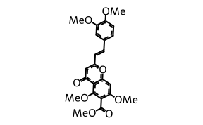 COC(=O)c1c(OC)cc2oc(C=Cc3ccc(OC)c(OC)c3)cc(=O)c2c1OC